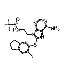 CC(C)(C)[S+]([O-])NCCn1c(Sc2cc3c(cc2I)CCC3)nc2c(N)ncnc21